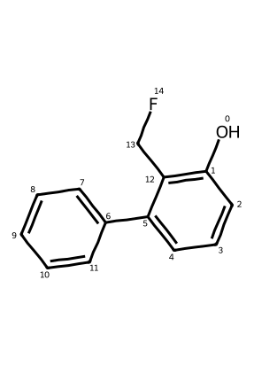 Oc1cccc(-c2ccccc2)c1CF